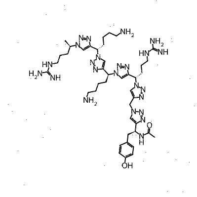 CC(=O)N[C@@H](Cc1ccc(O)cc1)c1cn(Cc2cn([C@@H](CCCNC(=N)N)c3cn([C@@H](CCCCN)c4cn([C@@H](CCCCN)c5cn([C@H](C)CCCNC(=N)N)nn5)nn4)nn3)nn2)nn1